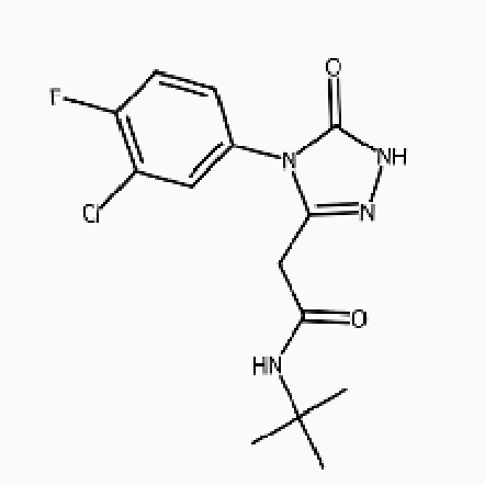 CC(C)(C)NC(=O)Cc1n[nH]c(=O)n1-c1ccc(F)c(Cl)c1